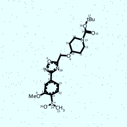 COc1cc(-c2noc(COC3CCN(C(=O)OC(C)(C)C)CC3)n2)ccc1[S+](C)[O-]